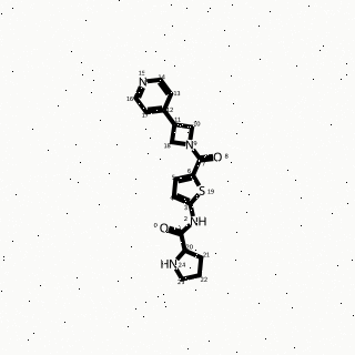 O=C(Nc1ccc(C(=O)N2CC(c3ccncc3)C2)s1)C1CCCN1